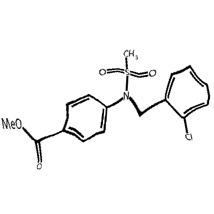 COC(=O)c1ccc(N(Cc2ccccc2Cl)S(C)(=O)=O)cc1